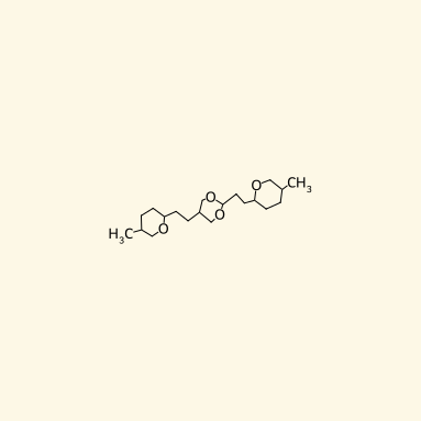 CC1CCC(CCC2COC(CCC3CCC(C)CO3)OC2)OC1